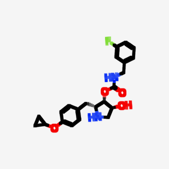 O=C(NCc1cccc(F)c1)O[C@@H]1[C@@H](O)CN[C@@H]1Cc1ccc(OC2CC2)cc1